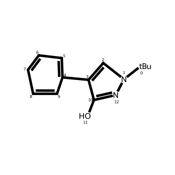 CC(C)(C)n1cc(-c2ccccc2)c(O)n1